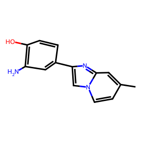 Cc1ccn2cc(-c3ccc(O)c(N)c3)nc2c1